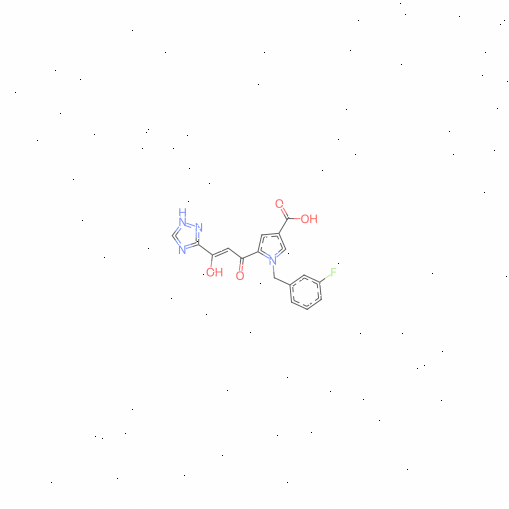 O=C(O)c1cc(C(=O)C=C(O)c2nc[nH]n2)n(Cc2cccc(F)c2)c1